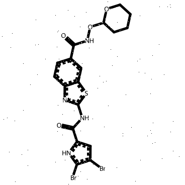 O=C(NOC1CCCCO1)c1ccc2nc(NC(=O)c3cc(Br)c(Br)[nH]3)sc2c1